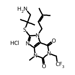 CC(C)=CCn1c(SC(C)(C)CN)nc2c1c(=O)n(CC(F)(F)F)c(=O)n2C.Cl